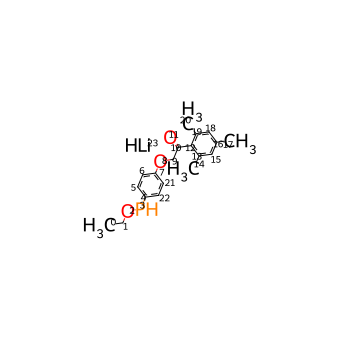 CCOPc1ccc(OCC(=O)c2c(C)cc(C)cc2C)cc1.[LiH]